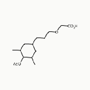 CC(=O)OC1C(C)CC(CCCOCC(=O)O)CC1C